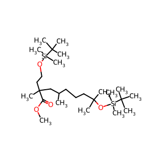 COC(=O)C(C)(CCO[Si](C)(C)C(C)(C)C)CC(C)CCCC(C)(C)O[Si](C)(C)C(C)(C)C